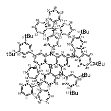 CC(C)(C)c1cc(-c2ccc3c(c2)N(c2ccc([Si](c4ccccc4)(c4ccccc4)c4ccccc4)cc2)c2cc(-n4c5ccc(C(C)(C)C)cc5c5cc(C(C)(C)C)ccc54)cc4c2B3c2cc([Si](c3ccccc3)(c3ccccc3)c3ccccc3)ccc2N4c2cc(C(C)(C)C)cc(C(C)(C)C)c2)cc(C(C)(C)C)c1